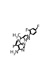 CC(c1cn(-c2ccc(F)cc2F)nn1)n1cc(I)c2c(N)ncnc21